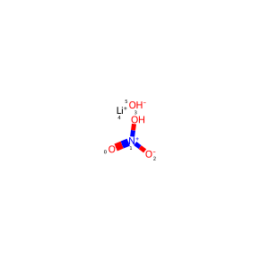 O=[N+]([O-])O.[Li+].[OH-]